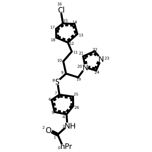 CCCC(=O)Nc1ccc(SC(CCc2ccc(Cl)cc2)Cn2ccnc2)cc1